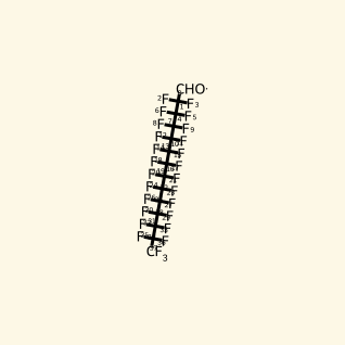 O=[C]C(F)(F)C(F)(F)C(F)(F)C(F)(F)C(F)(F)C(F)(F)C(F)(F)C(F)(F)C(F)(F)C(F)(F)C(F)(F)C(F)(F)C(F)(F)F